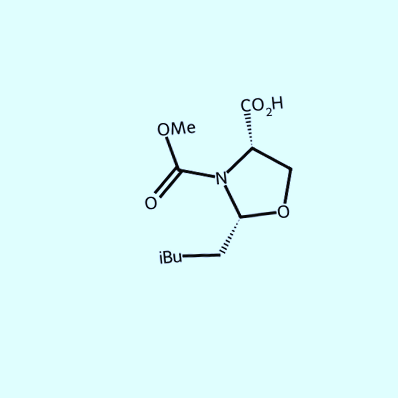 CCC(C)C[C@H]1OC[C@@H](C(=O)O)N1C(=O)OC